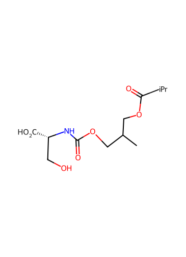 CC(COC(=O)N[C@H](CO)C(=O)O)COC(=O)C(C)C